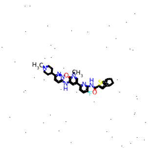 CN1CCC(c2ccc(Nc3cc(-c4ccc(F)c(NC(=O)c5cc6c(s5)C5CCC6C5)n4)cn(C)c3=O)nn2)CC1